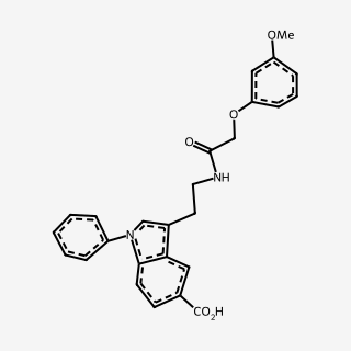 COc1cccc(OCC(=O)NCCc2cn(-c3ccccc3)c3ccc(C(=O)O)cc23)c1